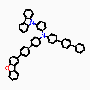 c1ccc(-c2ccc(-c3ccc(N(c4ccc(-c5ccc(-c6ccc7oc8ccccc8c7c6)cc5)cc4)c4cccc(-n5c6ccccc6c6ccccc65)c4)cc3)cc2)cc1